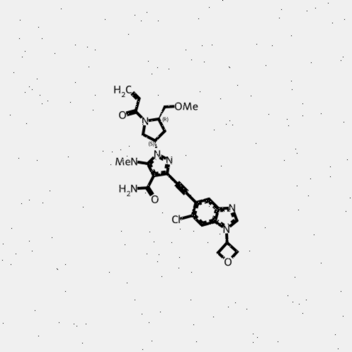 C=CC(=O)N1C[C@@H](n2nc(C#Cc3cc4ncn(C5COC5)c4cc3Cl)c(C(N)=O)c2NC)C[C@@H]1COC